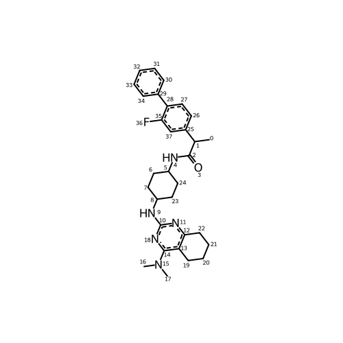 CC(C(=O)NC1CCC(Nc2nc3c(c(N(C)C)n2)CCCC3)CC1)c1ccc(-c2ccccc2)c(F)c1